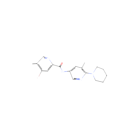 Cc1cnc(C(=O)Nc2cnc(N3CCCCC3)c(C)c2)cc1Br